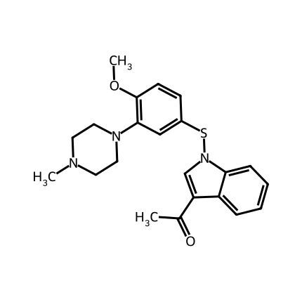 COc1ccc(Sn2cc(C(C)=O)c3ccccc32)cc1N1CCN(C)CC1